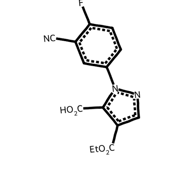 CCOC(=O)c1cnn(-c2ccc(F)c(C#N)c2)c1C(=O)O